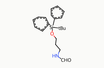 CC(C)(C)[Si](OCCCNC=O)(c1ccccc1)c1ccccc1